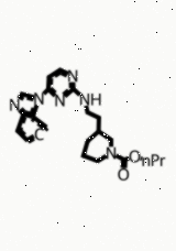 CCCOC(=O)N1CCCC(CCNc2nccc(-n3cnc4ccccc43)n2)C1